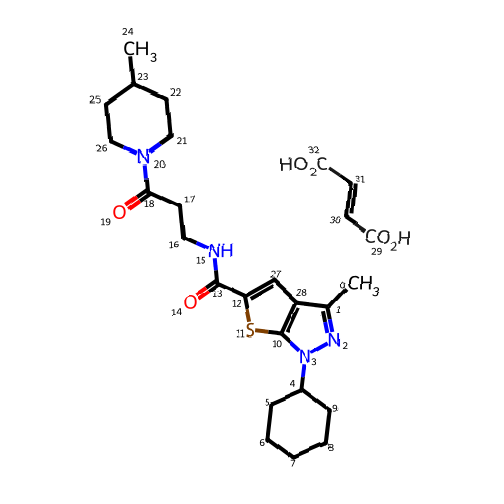 Cc1nn(C2CCCCC2)c2sc(C(=O)NCCC(=O)N3CCC(C)CC3)cc12.O=C(O)C=CC(=O)O